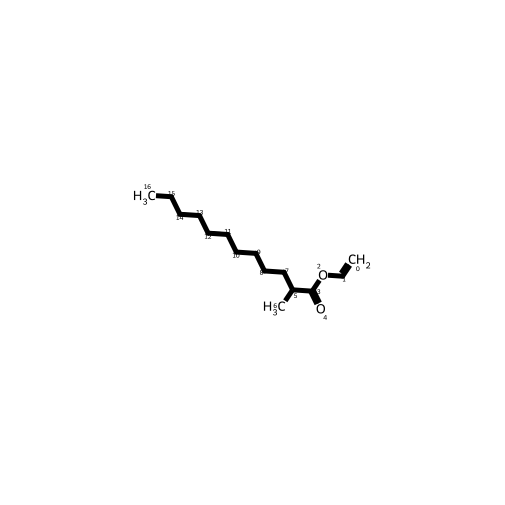 C=COC(=O)C(C)CCCCCCCCCC